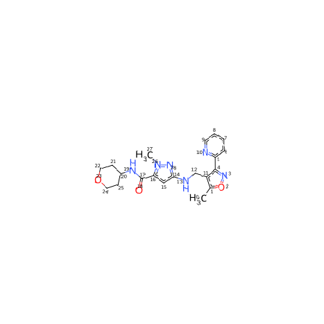 Cc1onc(-c2ccccn2)c1CNc1cc(C(=O)NC2CCOCC2)n(C)n1